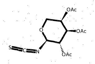 CC(=O)O[C@H]1[C@H](OC(C)=O)[C@@H](N=C=S)OC[C@H]1OC(C)=O